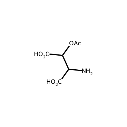 CC(=O)OC(C(=O)O)C(N)C(=O)O